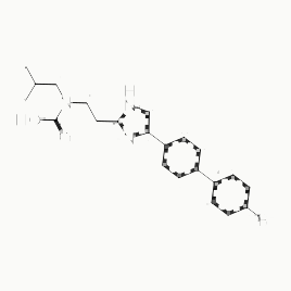 CC(C)CN(CCc1nc(-c2ccc(-c3ccc(Br)cc3)cc2)c[nH]1)C(=O)O